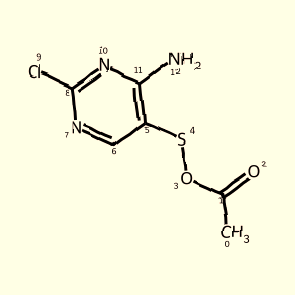 CC(=O)OSc1cnc(Cl)nc1N